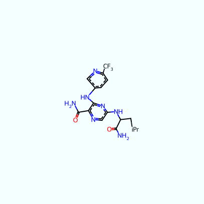 CC(C)CC(Nc1cnc(C(N)=O)c(Nc2ccc(C(F)(F)F)nc2)n1)C(N)=O